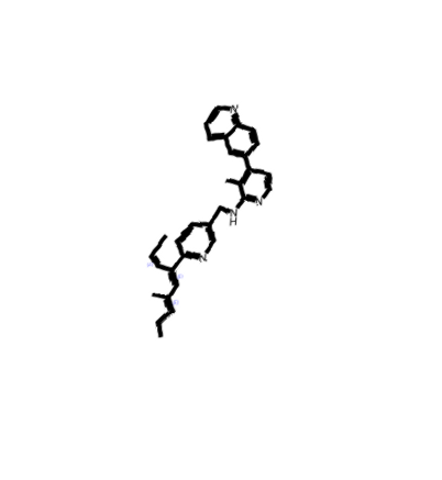 C\C=C/C(=C\C(C)=C\CC)c1ccc(CNc2nccc(-c3ccc4ncccc4c3)c2C)cn1